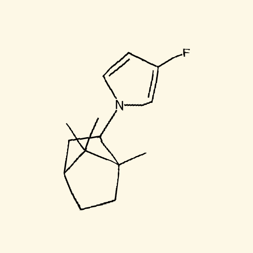 CC1(C)C2CCC1(C)C(n1ccc(F)c1)C2